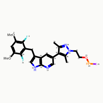 COc1cc(OC)c(F)c(Cc2c[nH]c3ncc(-c4c(C)nn(CCOPI)c4C)cc23)c1F